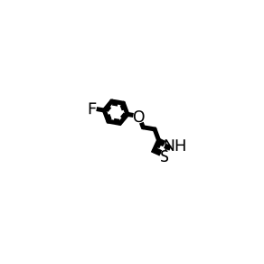 Fc1ccc(OCCc2cs[nH]2)cc1